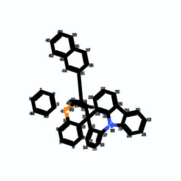 c1ccc([P@]2c3ccccc3C3(c4ccccc4-n4c5ccccc5c5cccc3c54)c3ccc(-c4ccc5ccccc5c4)cc32)cc1